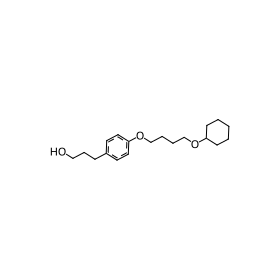 OCCCc1ccc(OCCCCOC2CCCCC2)cc1